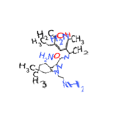 C=C(O)/C(=C\C(C(=C)/N=C(\ON)c1nn(CCN)c2c1CCC(C)(C)C2)=C(\C)N)CC